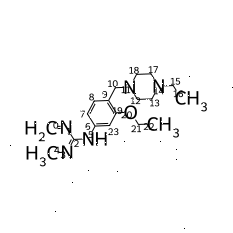 C=N/C(=N\C)Nc1ccc(CN2CCN(CC)CC2)c(OCC)c1